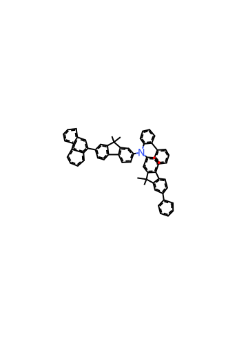 CC1(C)c2cc(-c3ccccc3)ccc2-c2ccc(N(c3ccc4c(c3)C(C)(C)c3cc(-c5cc6ccccc6c6ccccc56)ccc3-4)c3ccccc3-c3ccccc3)cc21